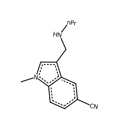 CCCNCc1cn(C)c2ccc(C#N)cc12